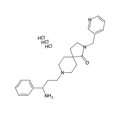 Cl.Cl.Cl.NC(CCN1CCC2(CC1)CCN(Cc1cccnc1)C2=O)c1ccccc1